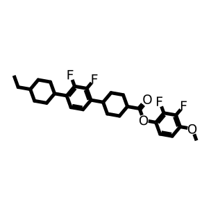 CCC1CCC(c2ccc(C3CCC(C(=O)Oc4ccc(OC)c(F)c4F)CC3)c(F)c2F)CC1